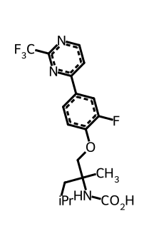 CC(C)CC(C)(COc1ccc(-c2ccnc(C(F)(F)F)n2)cc1F)NC(=O)O